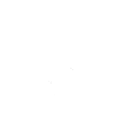 c1ccc2nc(N3CCC3)ccc2c1